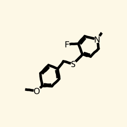 COc1ccc(CSC2=CCN(C)C=C2F)cc1